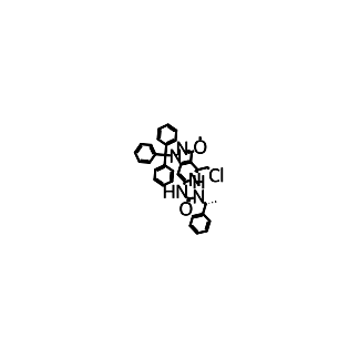 COc1nn(C(c2ccccc2)(c2ccccc2)c2ccccc2)c2cc(NC(=O)N[C@H](C)c3ccccc3)nc(CCl)c12